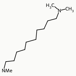 CNCCCCCCCCCCN(C)C